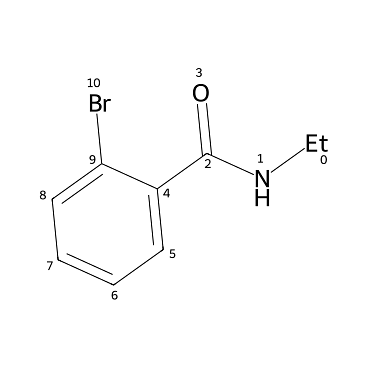 [CH2]CNC(=O)c1ccccc1Br